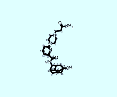 NC(=O)CCN1CCN(c2cccc(C(=O)NC3C4CC5CC3CC(O)(C5)C4)n2)CC1